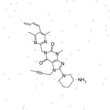 C=C/C=C\c1c(C)nc(Cn2c(=O)c3c(nc(N4CCC[C@@H](N)C4)n3CC#CC)n(C)c2=O)nc1C